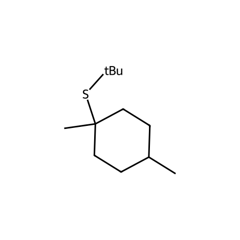 CC1CCC(C)(SC(C)(C)C)CC1